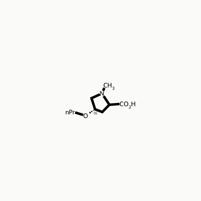 CCCO[C@H]1CC(C(=O)O)N(C)C1